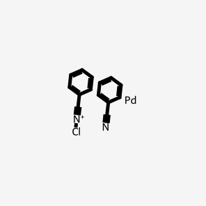 Cl[N+]#Cc1ccccc1.N#Cc1ccccc1.[Pd]